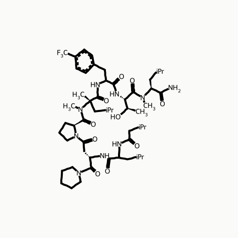 CC(C)CC(=O)NC(CC(C)C)C(=O)N[C@@H](CC(=O)N1CCC[C@H]1C(=O)N(C)[C@@](C)(CC(C)C)C(=O)NC(Cc1ccc(C(F)(F)F)cc1)C(=O)N[C@H](C(=O)N(C)[C@@H](CC(C)C)C(N)=O)[C@@H](C)O)C(=O)N1CCCCC1